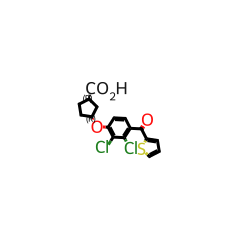 O=C(c1cccs1)c1ccc(O[C@@H]2CC[C@@H](C(=O)O)C2)c(Cl)c1Cl